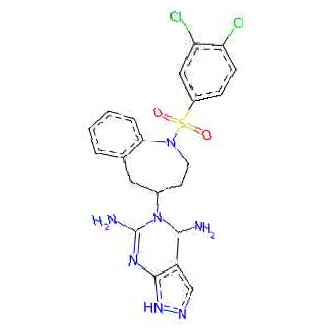 NC1=Nc2[nH]ncc2C(N)N1C1CCN(S(=O)(=O)c2ccc(Cl)c(Cl)c2)c2ccccc2C1